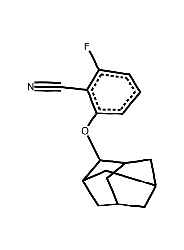 N#Cc1c(F)cccc1OC1C2CC3CC(C2)CC1C3